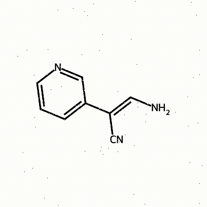 N#CC(=CN)c1cccnc1